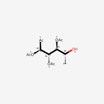 CC(=O)O[C@H]([C@H](OC(C)=O)[C@@H](OC(C)=O)C(C)=O)[C@@H](C)O